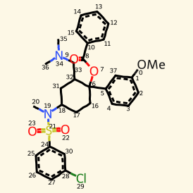 COc1cccc(C2(OC(=O)c3ccccc3)CCC(N(C)S(=O)(=O)c3cccc(Cl)c3)CC2CN(C)C)c1